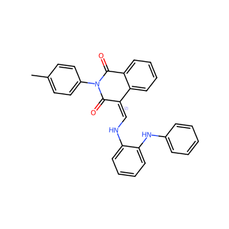 Cc1ccc(N2C(=O)/C(=C\Nc3ccccc3Nc3ccccc3)c3ccccc3C2=O)cc1